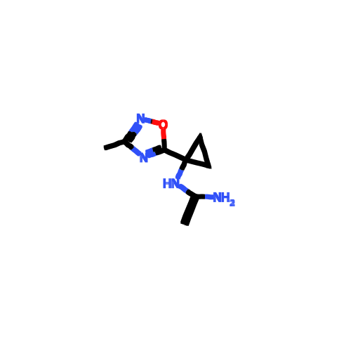 C=C(N)NC1(c2nc(C)no2)CC1